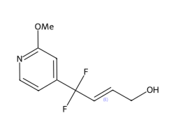 COc1cc(C(F)(F)/C=C/CO)ccn1